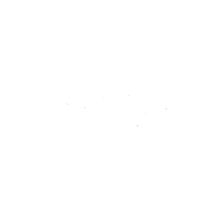 CCOCC(=O)N1CC2(CC(=O)C(c3c(C)cc(-c4ccc(F)cn4)cc3C)C(=O)C2)C1